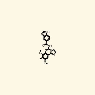 COc1cc2c(c(OC)c1C)N=C(NC(=O)c1ccc3[nH]cnc3c1)N1CCN=C21